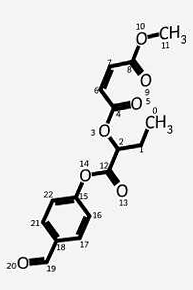 CCC(OC(=O)/C=C\C(=O)OC)C(=O)Oc1ccc(C=O)cc1